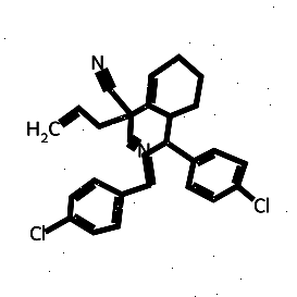 C=CCC(C#N)(C#N)C1=CCCCC1C(C=Cc1ccc(Cl)cc1)c1ccc(Cl)cc1